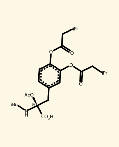 CCC(C)N[C@@](Cc1ccc(OC(=O)CC(C)C)c(OC(=O)CC(C)C)c1)(OC(C)=O)C(=O)O